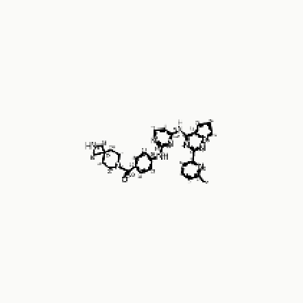 Cc1cccc(-c2nc(Nc3ccnc(Nc4ccc(C(=O)N5CCC6(CC5)CNC6)cc4)n3)c3cccn3n2)n1